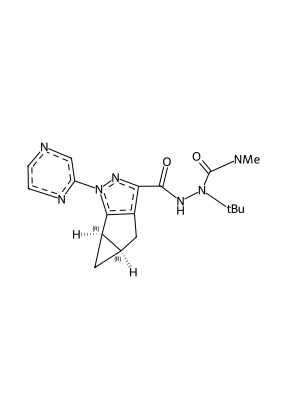 CNC(=O)N(NC(=O)c1nn(-c2cnccn2)c2c1C[C@H]1C[C@@H]21)C(C)(C)C